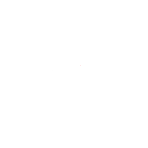 [CH2]C1CCC(Br)CO1